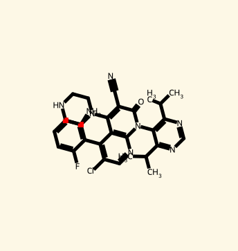 CC(C)c1ncnc(C(C)C)c1-n1c(=O)c(C#N)c(N2CCNCC2)c2c(-c3c(N)cccc3F)c(Cl)cnc21